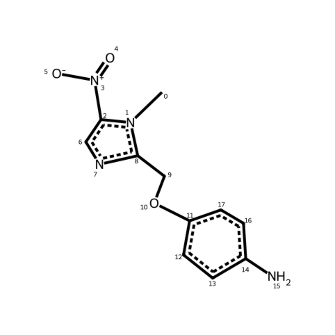 Cn1c([N+](=O)[O-])cnc1COc1ccc(N)cc1